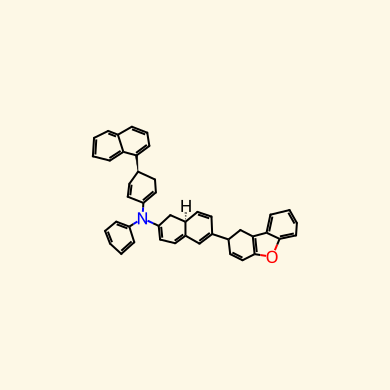 C1=C[C@@H]2CC(N(C3=CC[C@H](c4cccc5ccccc45)C=C3)c3ccccc3)=CC=C2C=C1C1C=Cc2oc3ccccc3c2C1